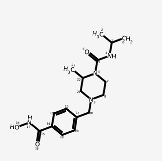 CC(C)NC(=O)N1CCN(Cc2ccc(C(=O)NO)cc2)CC1C